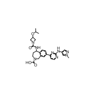 CC(C)OC1CN(C(=O)NC2CCN(C(=O)O)Cc3cc(-c4ccnc(Nc5cnn(C)c5)n4)ccc32)C1